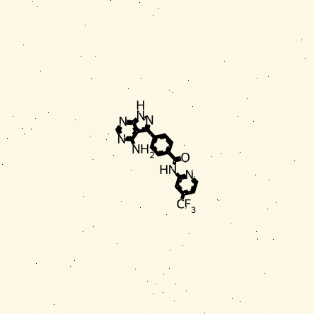 Nc1ncnc2[nH]nc(-c3ccc(C(=O)Nc4cc(C(F)(F)F)ccn4)cc3)c12